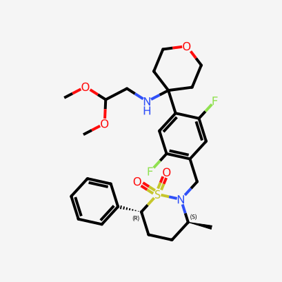 COC(CNC1(c2cc(F)c(CN3[C@@H](C)CC[C@H](c4ccccc4)S3(=O)=O)cc2F)CCOCC1)OC